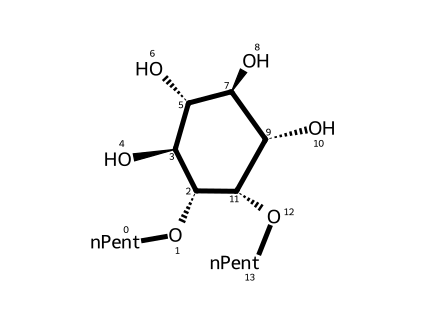 CCCCCO[C@@H]1[C@@H](O)[C@H](O)[C@@H](O)[C@H](O)[C@@H]1OCCCCC